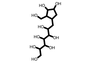 OCC(O)C(O)C(O)C(O)C(O)CC1CC(O)C(O)C1CO